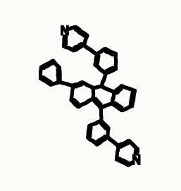 C1=CC2=C(c3cccc(-c4ccncc4)c3)c3ccccc3C(c3cccc(-c4ccncc4)c3)C2C=C1c1ccccc1